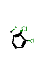 CF.Clc1ccccc1Cl